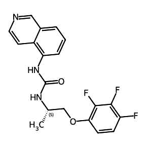 C[C@@H](COc1ccc(F)c(F)c1F)NC(=O)Nc1cccc2cnccc12